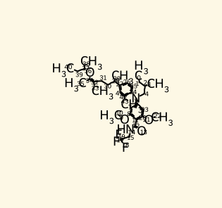 CCC(C)CN(c1cc(OC)c(C(=O)NCC(F)(F)F)c(OC)c1)c1ccc(C(C)CC/C(C)=C(/C)OC(C)CC)cc1C